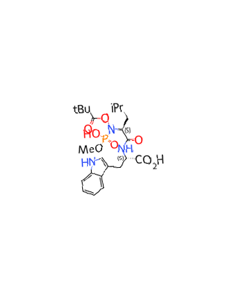 COP(=O)(O)N(OC(=O)C(C)(C)C)[C@@H](CC(C)C)C(=O)N[C@@H](Cc1c[nH]c2ccccc12)C(=O)O